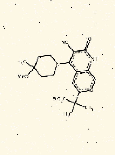 CCOC(=O)C(C)(C)c1cc2c(N3CCC(C)(OC)CC3)c(C#N)c(=O)[nH]c2cn1